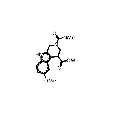 CNC(=O)N1Cc2[nH]c3ccc(OC)cc3c2C(C(=O)OC)C1